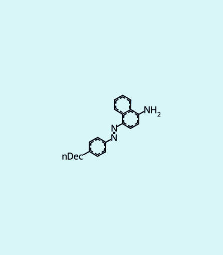 CCCCCCCCCCc1ccc(/N=N/c2ccc(N)c3ccccc23)cc1